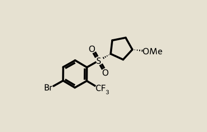 CO[C@H]1CC[C@@H](S(=O)(=O)c2ccc(Br)cc2C(F)(F)F)C1